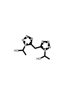 CC(O)n1nnnc1Cc1nnnn1C(C)O